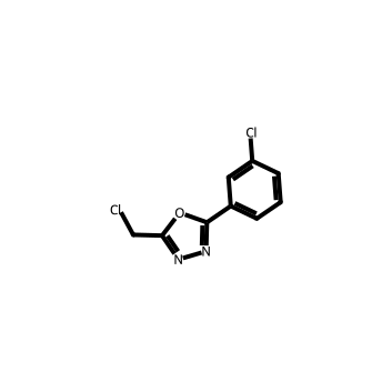 ClCc1nnc(-c2cccc(Cl)c2)o1